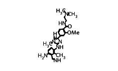 COc1cc(C2N=C(Nc3ccc(N)c(C=N)c3C)N(C)N2)ccc1C(=O)NCCN(C)C